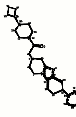 O=C(CN1CCn2c(nc3c2=CCC(c2cccnn2)C=3)C1)N1CCN(C2CCC2)CC1